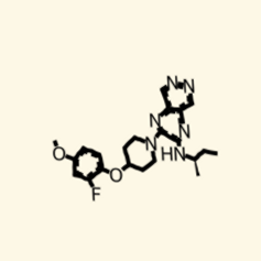 CC[C@@H](C)Nc1nc2cnncc2nc1N1CCC(Oc2ccc(OC)cc2F)CC1